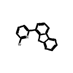 Brc1cccc(-c2cccc3c2Cc2ccccc2-3)n1